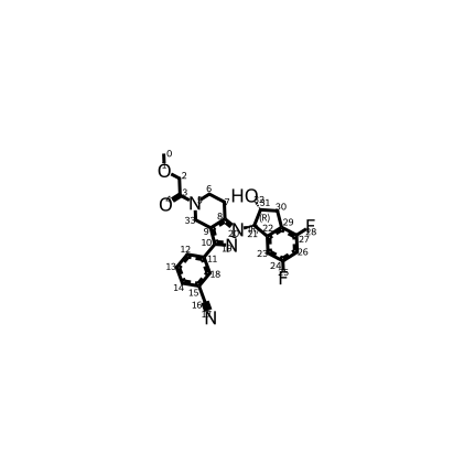 COCC(=O)N1CCc2c(c(-c3cccc(C#N)c3)nn2[C@@H]2c3cc(F)cc(F)c3C[C@H]2O)C1